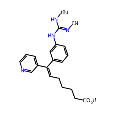 CC(C)(C)NC(=NC#N)Nc1cccc(/C(=C\CCCCC(=O)O)c2cccnc2)c1